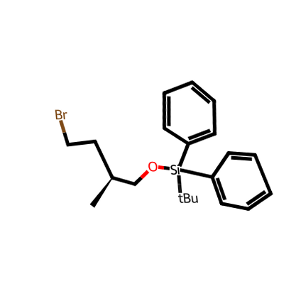 C[C@@H](CCBr)CO[Si](c1ccccc1)(c1ccccc1)C(C)(C)C